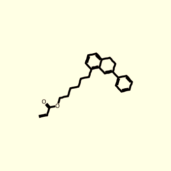 C=CC(=O)OCCCCCCc1cccc2c1C=C(c1ccccc1)CC2